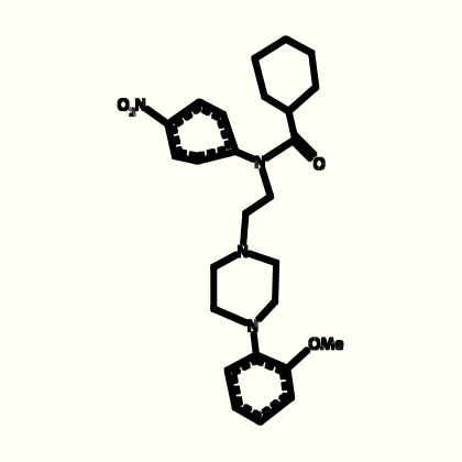 COc1ccccc1N1CCN(CCN(C(=O)C2CCCCC2)c2ccc([N+](=O)[O-])cc2)CC1